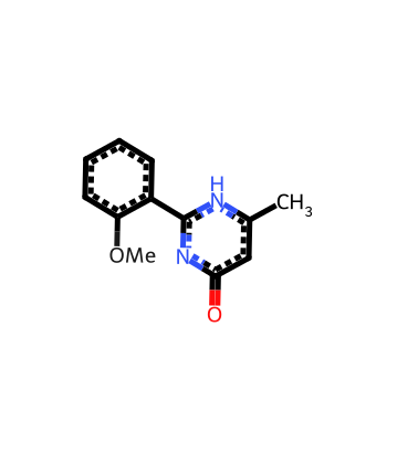 COc1ccccc1-c1nc(=O)cc(C)[nH]1